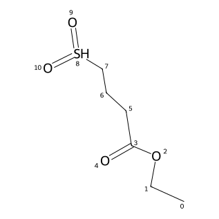 CCOC(=O)CCC[SH](=O)=O